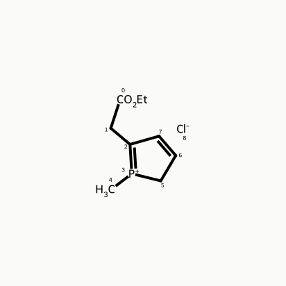 CCOC(=O)CC1=[P+](C)CC=C1.[Cl-]